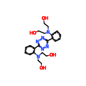 OCCN(CCO)c1ccccc1-c1nnc(-c2ccccc2N(CCO)CCO)nn1